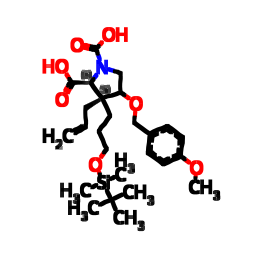 C=CC[C@]1(CCCO[Si](C)(C)C(C)(C)C)C(OCc2ccc(OC)cc2)CN(C(=O)O)[C@@H]1C(=O)O